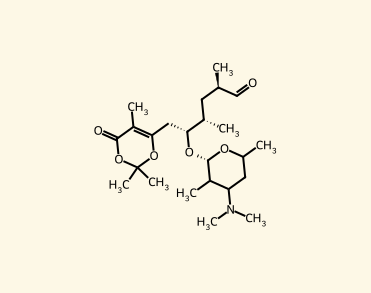 CC1=C(C[C@@H](O[C@@H]2OC(C)CC(N(C)C)C2C)[C@@H](C)C[C@@H](C)C=O)OC(C)(C)OC1=O